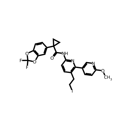 COc1ccc(-c2nc(NC(=O)C3(c4ccc5c(c4)OC(F)(F)O5)CC3)ccc2CCI)cn1